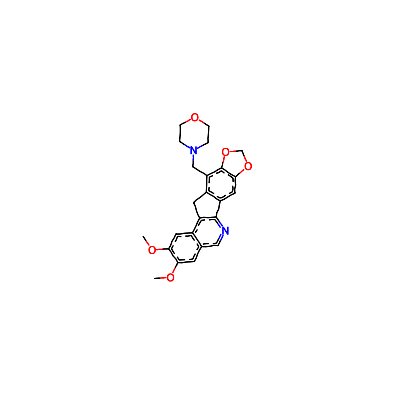 COc1cc2cnc3c(c2cc1OC)Cc1c-3cc2c(c1CN1CCOCC1)OCO2